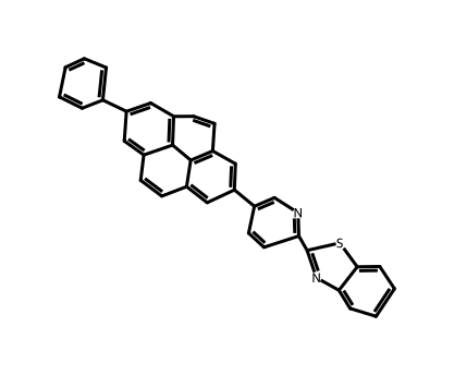 c1ccc(-c2cc3ccc4cc(-c5ccc(-c6nc7ccccc7s6)nc5)cc5ccc(c2)c3c45)cc1